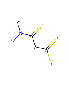 CN(C)C(=S)CC(=S)S